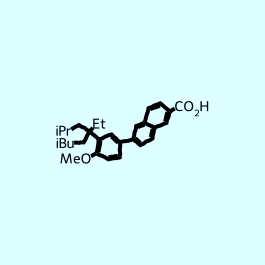 CCC(C)CC(CC)(CC(C)C)c1cc(-c2ccc3cc(C(=O)O)ccc3c2)ccc1OC